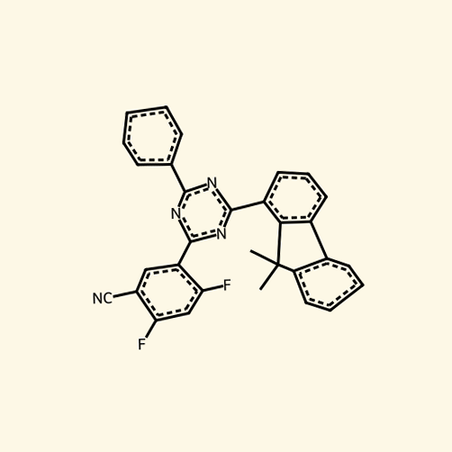 CC1(C)c2ccccc2-c2cccc(-c3nc(-c4ccccc4)nc(-c4cc(C#N)c(F)cc4F)n3)c21